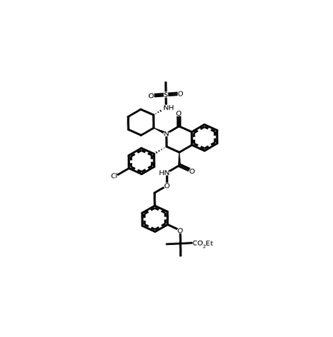 CCOC(=O)C(C)(C)Oc1cccc(CONC(=O)[C@@H]2c3ccccc3C(=O)N([C@H]3CCCC[C@@H]3NS(C)(=O)=O)[C@H]2c2ccc(Cl)cc2)c1